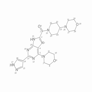 O=C(c1nc2c(N3CCOCC3)nc(-c3cn[nH]c3)nc2[nH]1)N1CCC(N2CCOCC2)CC1